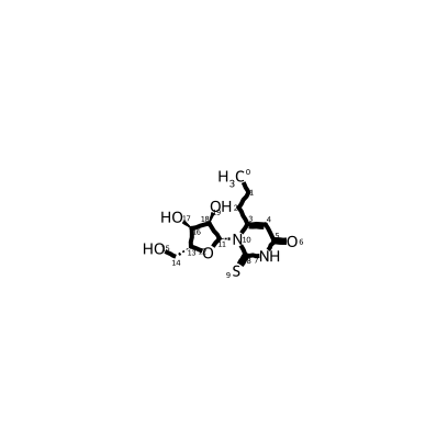 CCCc1cc(=O)[nH]c(=S)n1[C@@H]1O[C@H](CO)[C@@H](O)[C@H]1O